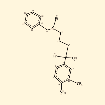 CCN(CCCC(C#N)(c1ccc(C(F)(F)F)c(C(F)(F)F)c1)C(C)C)Cc1ccccc1